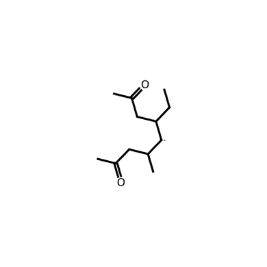 CCC([CH]C(C)CC(C)=O)CC(C)=O